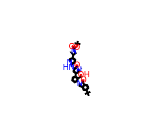 Cn1cc(-c2cccc(N3Cc4cc(C(C)(C)C)ccc4C3=O)c2CO)cc(Nc2ccc(C3CN(C(=O)OC(C)(C)C)C3)cn2)c1=O